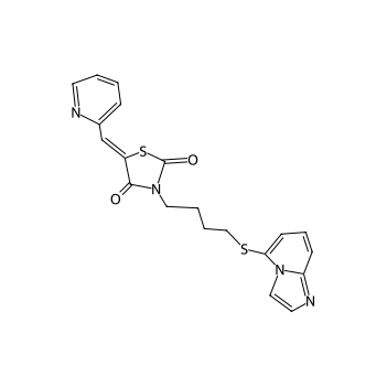 O=C1S/C(=C\c2ccccn2)C(=O)N1CCCCSc1cccc2nccn12